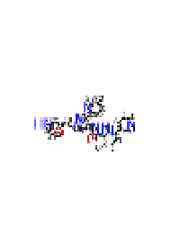 Cc1ccc(-c2cccnc2)nc1C(=O)Nc1cn(CCC2CNCCO2)nc1-c1ccccn1